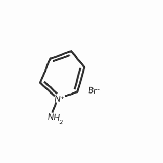 N[n+]1ccccc1.[Br-]